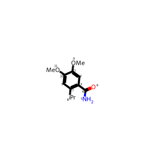 COc1cc(C(N)=O)c(C(C)C)cc1OC